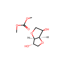 COC(=O)OC.O[C@@H]1CO[C@H]2[C@@H]1OC[C@@H]2O